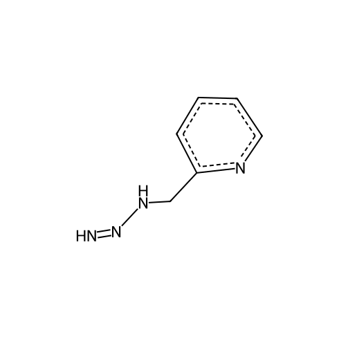 N=NNCc1ccccn1